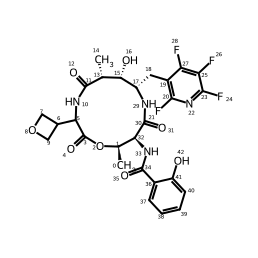 C[C@H]1OC(=O)C(C2COC2)NC(=O)[C@H](C)[C@H](O)[C@H](Cc2c(F)nc(F)c(F)c2F)NC(=O)[C@H]1NC(=O)c1ccccc1O